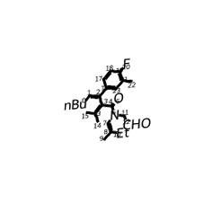 CCCC/C=C(\C(C(=O)N(/C=C(/C)CC)CC=O)=C(C)C)c1ccc(F)c(C)c1